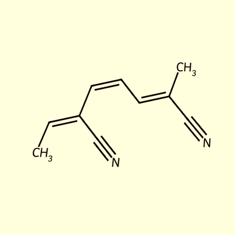 CC=C(C#N)/C=C\C=C(/C)C#N